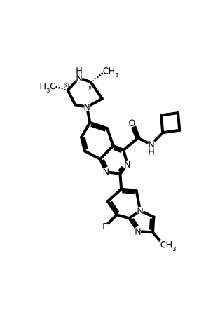 Cc1cn2cc(-c3nc(C(=O)NC4CCC4)c4cc(N5C[C@@H](C)N[C@@H](C)C5)ccc4n3)cc(F)c2n1